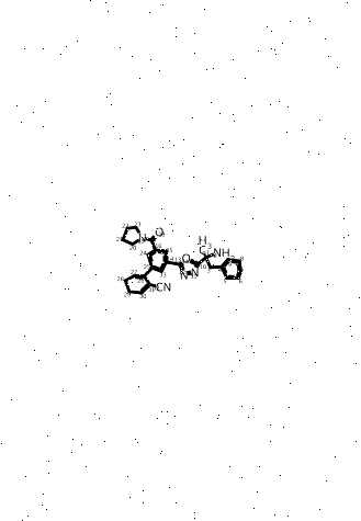 C[C@@](N)(Cc1ccccc1)c1nnc(-c2cc(C(=O)N3CCCC3)cc(C3=CCCC=C3C#N)c2)o1